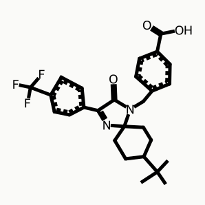 CC(C)(C)C1CCC2(CC1)N=C(c1ccc(C(F)(F)F)cc1)C(=O)N2Cc1ccc(C(=O)O)cc1